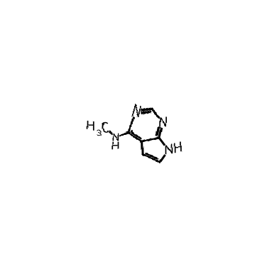 CNc1ncnc2[nH]ccc12